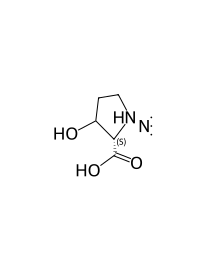 O=C(O)[C@H]1NCCC1O.[N]